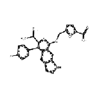 CC(C)c1nc(OCc2ccc(C(=O)O)o2)c2cc3[nH]ncc3cc2c1-c1ccc(F)cc1